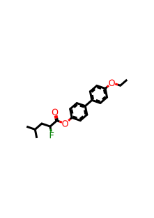 CCOc1ccc(-c2ccc(OC(=O)C(F)CC(C)C)cc2)cc1